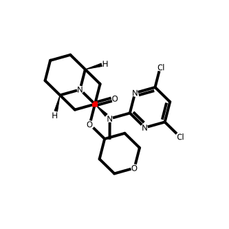 CN(c1nc(Cl)cc(Cl)n1)[C@@H]1C[C@H]2CCC[C@@H](C1)N2C(=O)OC1CCOCC1